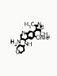 COc1cc2c(NC3CCOCC3)c(N)cnc2cc1-c1c(C)noc1C